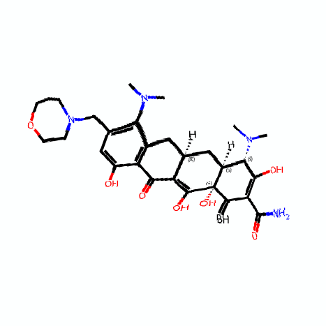 B=C1C(C(N)=O)=C(O)[C@@H](N(C)C)[C@@H]2C[C@@H]3Cc4c(c(O)cc(CN5CCOCC5)c4N(C)C)C(=O)C3=C(O)[C@]12O